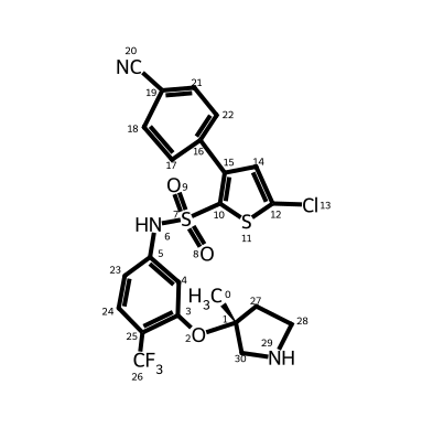 C[C@@]1(Oc2cc(NS(=O)(=O)c3sc(Cl)cc3-c3ccc(C#N)cc3)ccc2C(F)(F)F)CCNC1